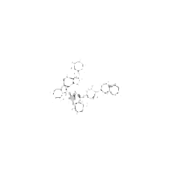 c1ccc(-n2ccc3c2ccc2c4ccccc4n(-c4nc(-c5ccc(-c6ccc7ccccc7c6)cc5)c5ccccc5n4)c23)cc1